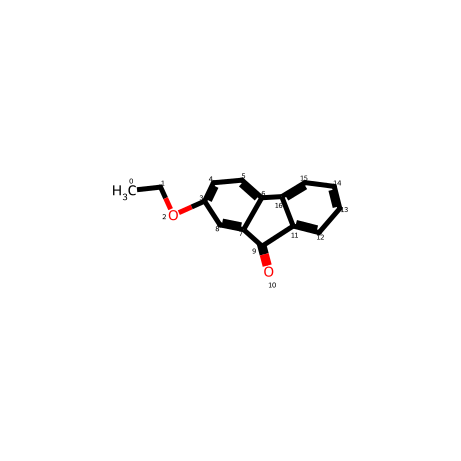 CCOc1ccc2c(c1)C(=O)c1ccccc1-2